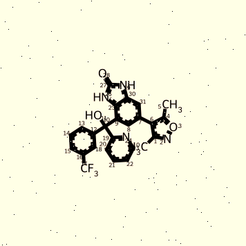 Cc1noc(C)c1-c1cc(C(O)(c2cccc(C(F)(F)F)c2)c2ccccn2)c2[nH]c(=O)[nH]c2c1